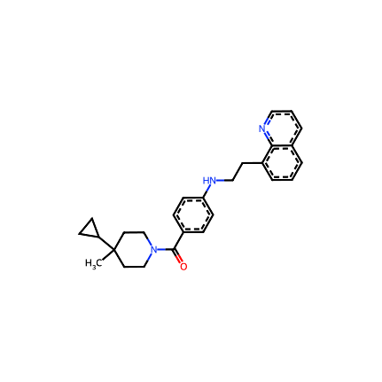 CC1(C2CC2)CCN(C(=O)c2ccc(NCCc3cccc4cccnc34)cc2)CC1